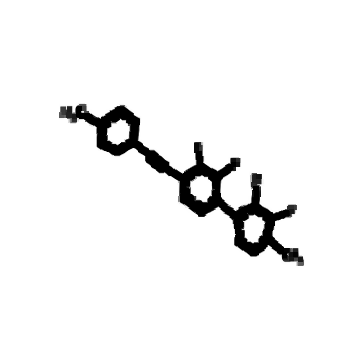 Cc1ccc(C#Cc2ccc(-c3ccc(C)c(F)c3F)c(F)c2F)cc1